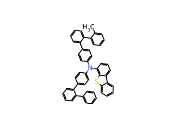 Cc1ccccc1-c1ccccc1-c1ccc(N(c2ccc(-c3ccccc3-c3ccccc3)cc2)c2cccc3c2sc2ccccc23)cc1